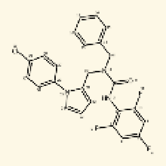 O=C(Nc1c(F)cc(F)cc1F)N(Cc1ccccc1)Cc1cccn1-c1ccc(Cl)cc1